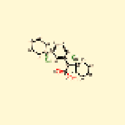 O=C(O)C(c1cccc(C2(Cl)CCCCC2)c1)C1(Cl)CCCCC1